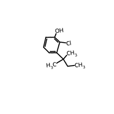 CCC(C)(C)c1cccc(O)c1Cl